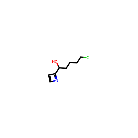 OC(CCCCCl)C1=NC=C1